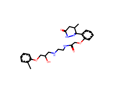 Cc1ccccc1OCC(O)CNCCNC(=O)COc1ccccc1C1=NNC(=O)CC1C